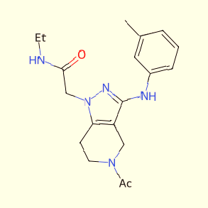 CCNC(=O)Cn1nc(Nc2cccc(C)c2)c2c1CCN(C(C)=O)C2